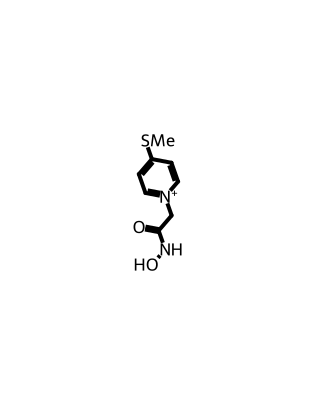 CSc1cc[n+](CC(=O)NO)cc1